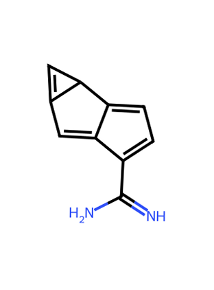 N=C(N)C1=CC=C2C1=CC1=CC12